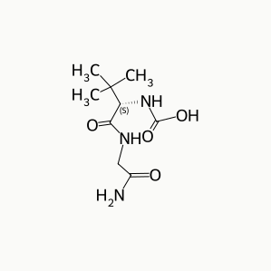 CC(C)(C)[C@H](NC(=O)O)C(=O)NCC(N)=O